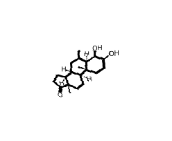 CC1C[C@@H]2[C@H](CC[C@]3(C)C(=O)CC[C@@H]23)[C@@]2(C)CC[C@H](O)C(O)[C@H]12